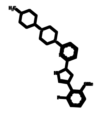 COc1cccc(F)c1C1=CNC(c2cccc(N3CCN(C4CCN(C)CC4)CC3)n2)C1